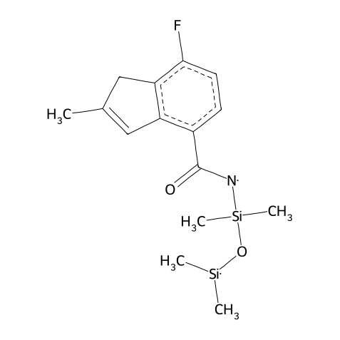 CC1=Cc2c(C(=O)[N][Si](C)(C)O[Si](C)C)ccc(F)c2C1